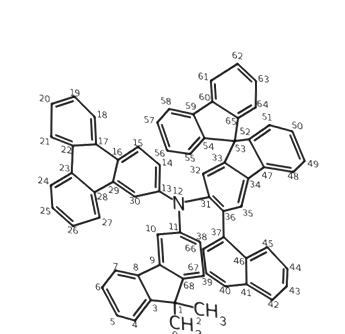 CC1(C)c2ccccc2-c2cc(N(c3ccc4c5ccccc5c5ccccc5c4c3)c3cc4c(cc3-c3cccc5ccccc35)-c3ccccc3C43c4ccccc4-c4ccccc43)ccc21